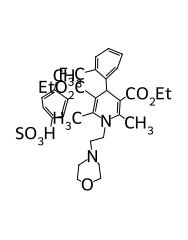 CCOC(=O)C1=C(C)N(CCN2CCOCC2)C(C)=C(C(=O)OCC)C1c1ccccc1C(F)(F)F.Cc1ccc(S(=O)(=O)O)cc1